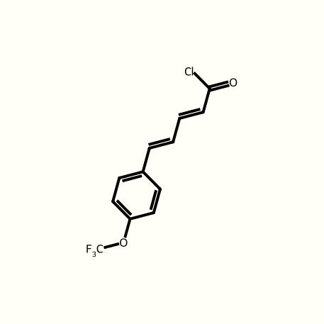 O=C(Cl)C=CC=Cc1ccc(OC(F)(F)F)cc1